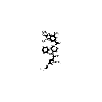 CCOc1cc(C(=O)N[C@@H]2CCN(C(=O)c3cc(C)c4nc(OC)n(C)c4c3)C[C@H]2c2ccccc2)n(C)n1